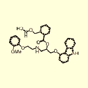 COc1ccccc1OCCNCC(COc1cccc2[nH]c3ccccc3c12)OC(=O)c1ccccc1CONO